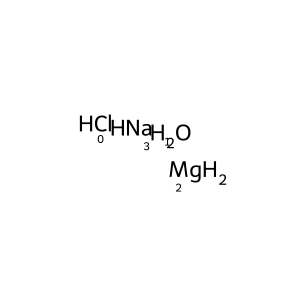 Cl.O.[MgH2].[NaH]